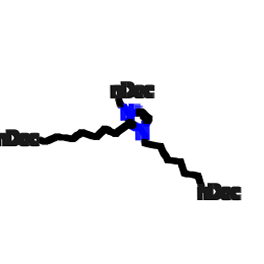 CCCCCCCCCCCCCCCCCc1n(CCCCCCCCCCCCCCCC)cc[n+]1CCCCCCCCCCC